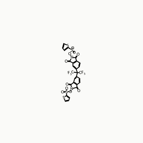 O=C1c2ccc(C(c3ccc4c(c3)C(=O)N(OS(=O)(=O)c3cccs3)C4=O)(C(F)(F)F)C(F)(F)F)cc2C(=O)N1OS(=O)(=O)c1cccs1